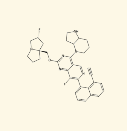 C#Cc1cccc2cccc(-c3ncc4c(N5CCCC6NCCC65)nc(OC[C@@]56CCCN5C[C@H](F)C6)nc4c3F)c12